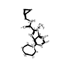 Cn1c(C(=O)NCC2CC2)nc2c(N3CCCCC3)ncnc21